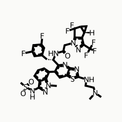 CN(C)CCNc1nc2nc([C@H](Cc3cc(F)cc(F)c3)NC(=O)Cn3nc(C(F)(F)F)c4c3C(F)(F)C3C[C@H]43)c(-c3cccc4c(NS(C)(=O)=O)nn(C)c34)cc2s1